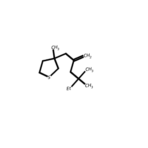 C=C(CC(C)(C)CC)CC1(C)CCSC1